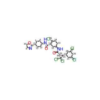 O=C(Nc1ccc(-c2ncco2)cc1)c1cc(NC(=O)[C@H]2[C@H](c3cc(Cl)cc(Cl)c3)C2(Cl)Cl)ccc1Cl